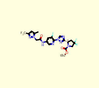 Cc1cc(C(F)(F)F)nn1CC(=O)Nc1cnc(-n2cnc([C@@H]3CC(F)(F)CN3C(=O)OC(C)(C)C)n2)c(F)c1